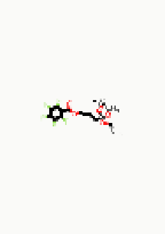 CCO[Si](CCCCOC(=O)c1c(F)c(F)c(F)c(F)c1F)(OC)OCC